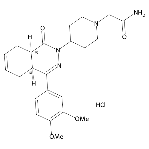 COc1ccc(C2=NN(C3CCN(CC(N)=O)CC3)C(=O)[C@@H]3CC=CC[C@H]23)cc1OC.Cl